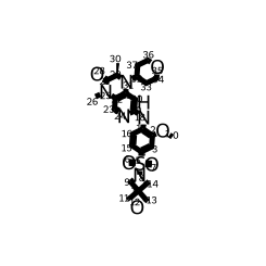 COc1cc(S(=O)(=O)N2CC3(COC3)C2)ccc1Nc1cc2c(cn1)N(C)C(=O)[C@@H](C)N2C1CCOCC1